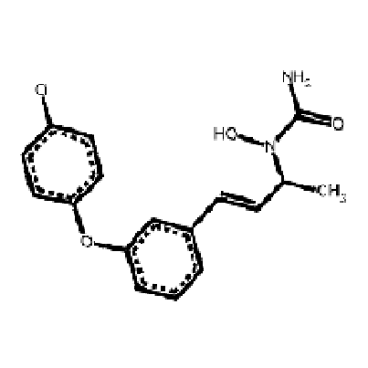 CC(C=Cc1cccc(Oc2ccc(Cl)cc2)c1)N(O)C(N)=O